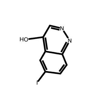 Oc1cnnc2ccc(I)cc12